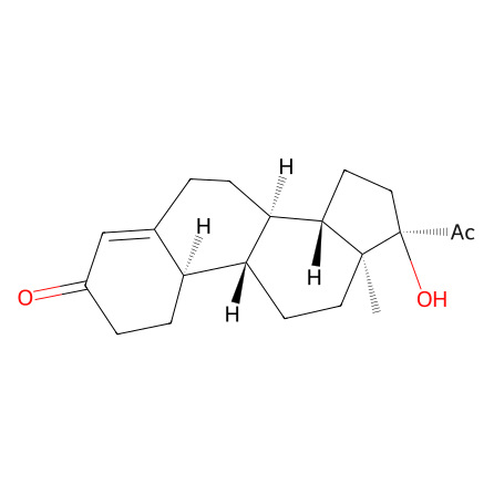 CC(=O)[C@@]1(O)CC[C@H]2[C@@H]3CCC4=CC(=O)CC[C@@H]4[C@H]3CC[C@@]21C